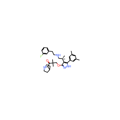 Cc1cc(C)cc(-c2[nH]nc(OCC(C)(C)C(=O)C3C4CCN3CC4)c2[C@H](C)CNCCc2cccc(F)c2)c1